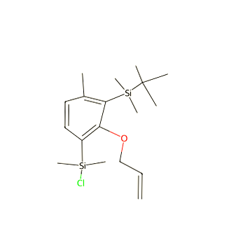 C=CCOc1c([Si](C)(C)Cl)ccc(C)c1[Si](C)(C)C(C)(C)C